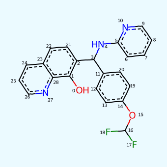 Oc1c(C(Nc2ccccn2)c2ccc(OC(F)F)cc2)ccc2cccnc12